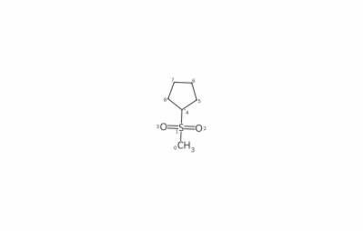 CS(=O)(=O)[C]1CCCC1